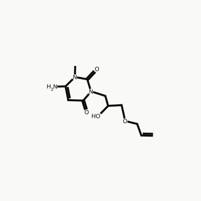 C=CCOCC(O)Cn1c(=O)cc(N)n(C)c1=O